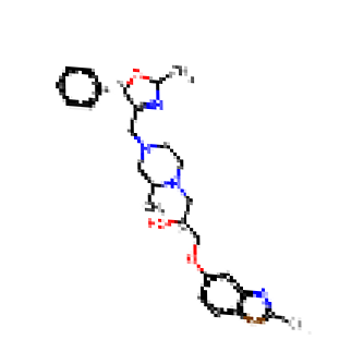 Cc1nc2cc(OC[C@@H](O)CN3CCN(CC4=NC(C)O[C@H]4c4ccccc4)CC3C)ccc2s1